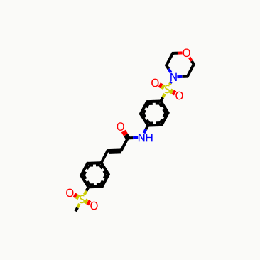 CS(=O)(=O)c1ccc(/C=C/C(=O)Nc2ccc(S(=O)(=O)N3CCOCC3)cc2)cc1